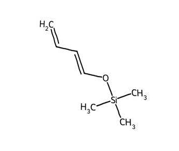 C=C/C=C/O[Si](C)(C)C